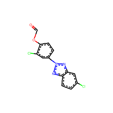 O=[C]Oc1ccc(-n2nc3ccc(Cl)cc3n2)cc1Cl